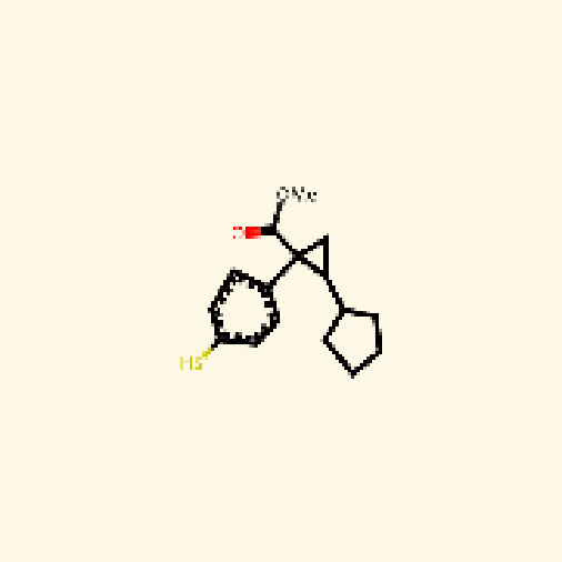 COC(=O)C1(c2ccc(S)cc2)CC1C1CCCC1